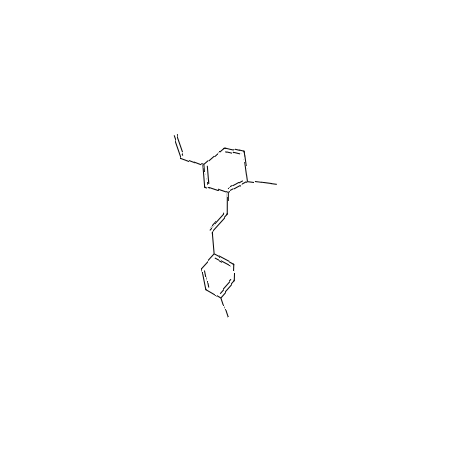 C=Cc1ccc(C)c(C=Cc2ccc(C)cc2)c1